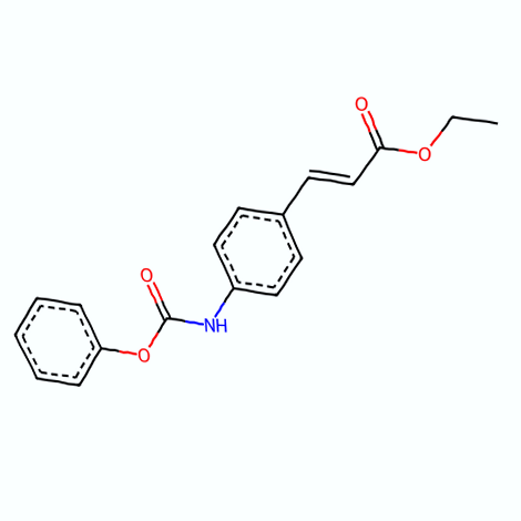 CCOC(=O)C=Cc1ccc(NC(=O)Oc2ccccc2)cc1